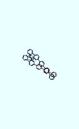 c1ccc(-c2ccc(-c3ccc(-c4ccc5c(c4)[Si]4(c6ccccc6-5)c5ccccc5-c5ccc(-c6ccc(-c7ccc(-c8ccccc8)cc7)cc6)cc54)cc3)cc2)cc1